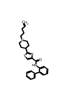 C=CCCCN1CCC(c2nc(C(=O)Nc3ccccc3-c3ccccc3)cs2)CC1